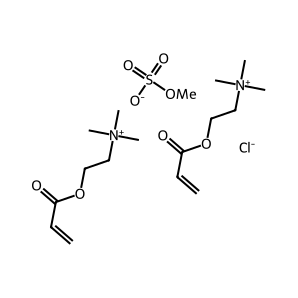 C=CC(=O)OCC[N+](C)(C)C.C=CC(=O)OCC[N+](C)(C)C.COS(=O)(=O)[O-].[Cl-]